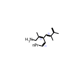 C=C(C)/C(C)=C/C(/C=C\CCC)=C(\C)CN